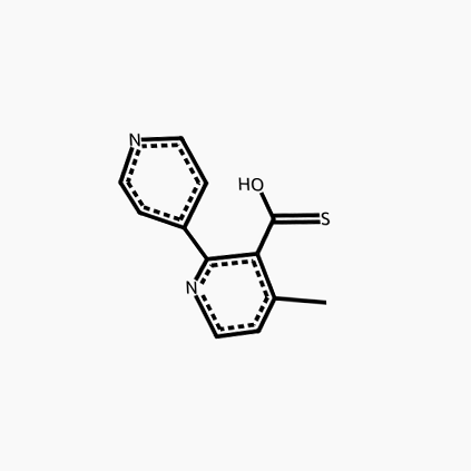 Cc1ccnc(-c2ccncc2)c1C(O)=S